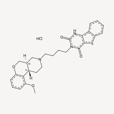 COc1cccc2c1[C@H]1CCN(CCCCn3c(=O)[nH]c4c(sc5ccccc54)c3=O)C[C@@H]1CO2.Cl